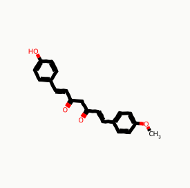 COc1ccc(/C=C/C(=O)CC(=O)/C=C/c2ccc(O)cc2)cc1